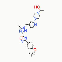 Cc1nc(-c2nc(-c3ccc(OC(F)(F)F)cc3)no2)nn1Cc1ccnc(N2CCN(C(C)O)CC2)c1